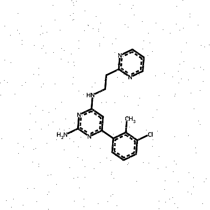 Cc1c(Cl)cccc1-c1cc(NCCc2ncccn2)nc(N)n1